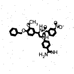 COc1cc(C(CNc2ccc(C(=N)N)cc2)NS(=O)(=O)c2cccc([N+](=O)[O-])c2)ccc1OCc1ccccc1